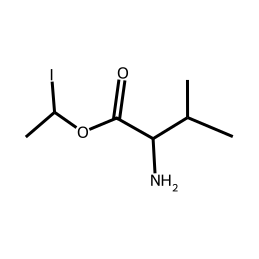 CC(I)OC(=O)C(N)C(C)C